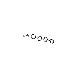 CCC[C@H]1CC[C@H](C2CCC(c3ccc(-c4ccccc4)cc3)CC2)CC1